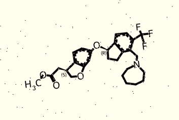 COC(=O)C[C@@H]1COc2cc(O[C@@H]3CCc4c3ccc(C(F)(F)F)c4CN3CCCCCC3)ccc21